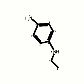 CCNc1ccc(N)cc1